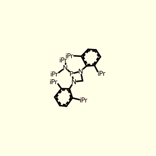 CC(C)c1cccc(C(C)C)c1N1CN(c2c(C(C)C)cccc2C(C)C)P1N(C(C)C)C(C)C